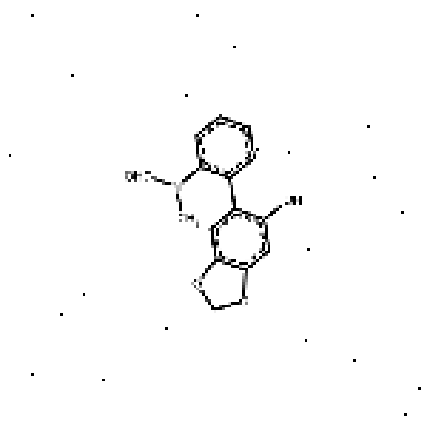 CN(C=O)c1ccccc1-c1cc2c(cc1O)OCO2